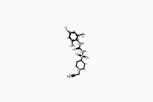 C#CCN1CCC(S(=O)(=O)NC(=O)Nc2c(C(C)C)cc(F)cc2C(C)C)CC1